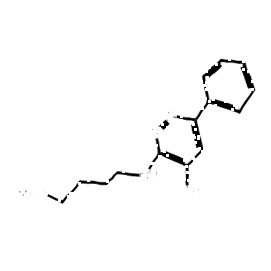 COCCCCNc1nnc(-c2ccccc2)cc1C